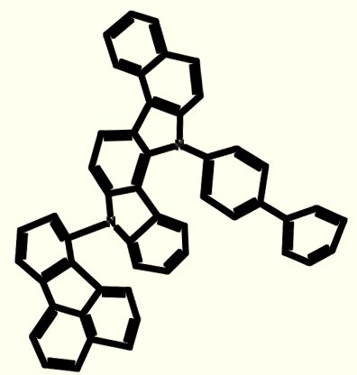 c1ccc(-c2ccc(-n3c4ccc5ccccc5c4c4ccc5c(c6ccccc6n5-c5cccc6c5-c5cccc7cccc-6c57)c43)cc2)cc1